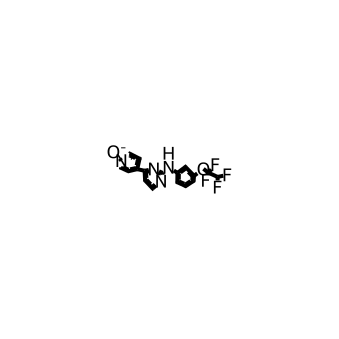 [O-][n+]1ccc(-c2ccnc(Nc3cccc(OC(F)(F)C(F)F)c3)n2)cc1